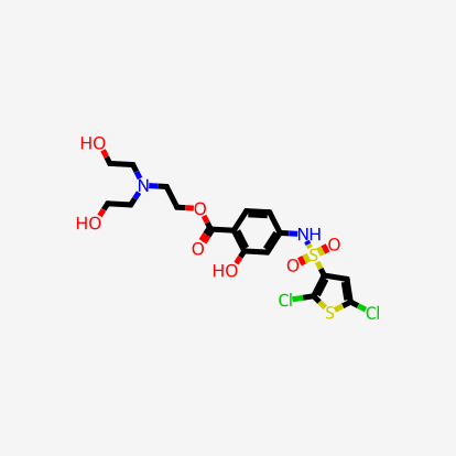 O=C(OCCN(CCO)CCO)c1ccc(NS(=O)(=O)c2cc(Cl)sc2Cl)cc1O